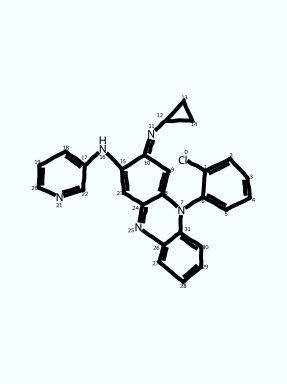 Clc1ccccc1-n1c2c/c(=N\C3CC3)c(Nc3cccnc3)cc-2nc2ccccc21